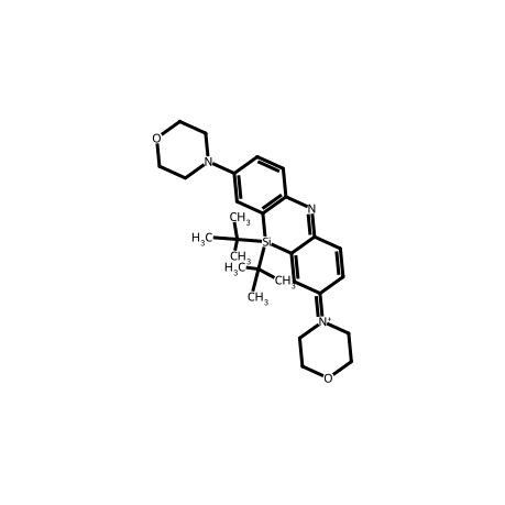 CC(C)(C)[Si]1(C(C)(C)C)C2=CC(=[N+]3CCOCC3)C=CC2=Nc2ccc(N3CCOCC3)cc21